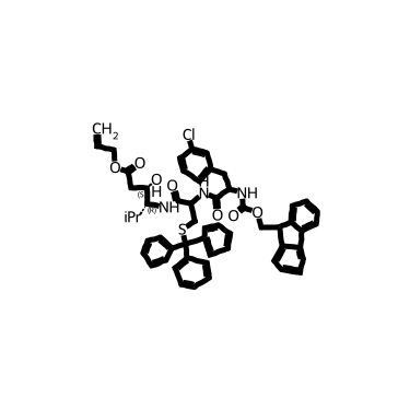 C=CCOC(=O)C[C@H](O)[C@H](NC(=O)C(CSC(c1ccccc1)(c1ccccc1)c1ccccc1)NC(=O)C(Cc1cccc(Cl)c1)NC(=O)OCC1c2ccccc2-c2ccccc21)C(C)C